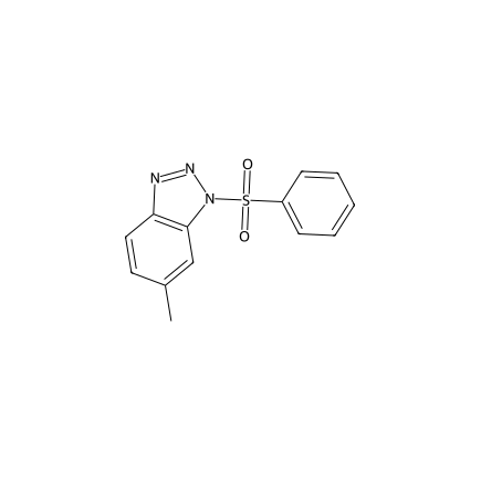 Cc1ccc2nnn(S(=O)(=O)c3ccccc3)c2c1